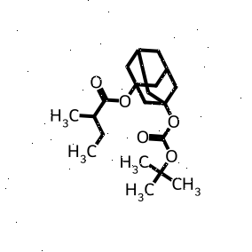 CCC(C)C(=O)OC12CC3CC(CC(OC(=O)OC(C)(C)C)(C3)C1)C2